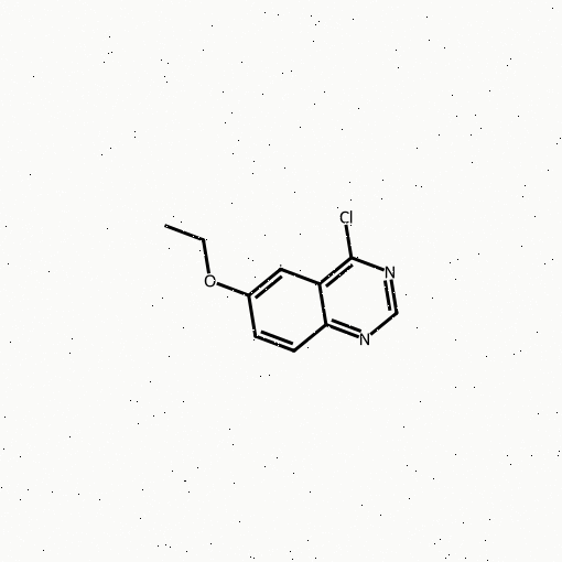 CCOc1[c]c2c(Cl)ncnc2cc1